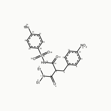 CCN(CC)C(=O)C(Cc1ccc([N+](=O)[O-])cc1)C(=O)NS(=O)(=O)c1ccc(C(C)(C)C)cc1